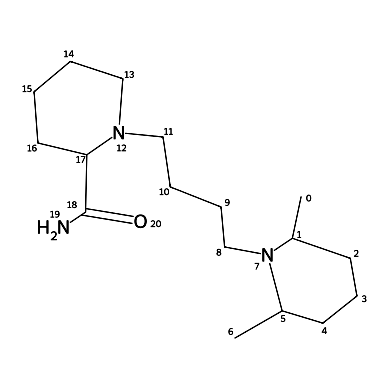 CC1CCCC(C)N1CCCCN1CCCCC1C(N)=O